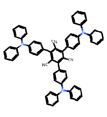 N#Cc1c(-c2ccc(N(C3=CC=CCC3)c3ccccc3)cc2)c(C#N)c(-c2ccc(N(c3ccccc3)c3ccccc3)cc2)c(C#N)c1-c1ccc(N(c2ccccc2)c2ccccc2)cc1